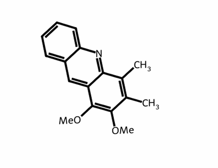 COc1c(C)c(C)c2nc3ccccc3cc2c1OC